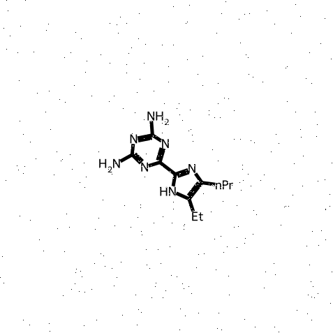 CCCc1nc(-c2nc(N)nc(N)n2)[nH]c1CC